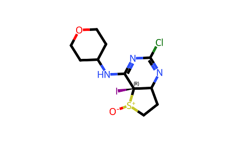 [O-][S+]1CCC2N=C(Cl)N=C(NC3CCOCC3)[C@]21I